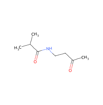 CC(=O)CCNC(=O)C(C)C